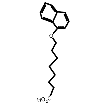 O=C(O)CCCCCCCOc1cccc2ccccc12